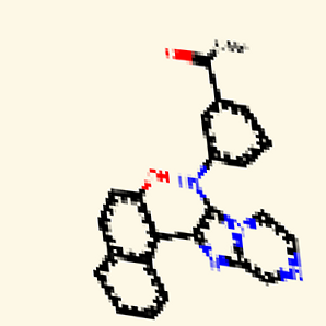 COC(=O)c1cccc(Nc2c(-c3c(O)ccc4ccccc34)nc3cnccn23)c1